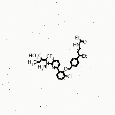 C=C/C(C(=O)O)=C(\N(N)c1cccc(-c2cccc(Cl)c2OCc2ccc(C(CC)CCNC(=O)CC)cc2)n1)C(F)(F)F